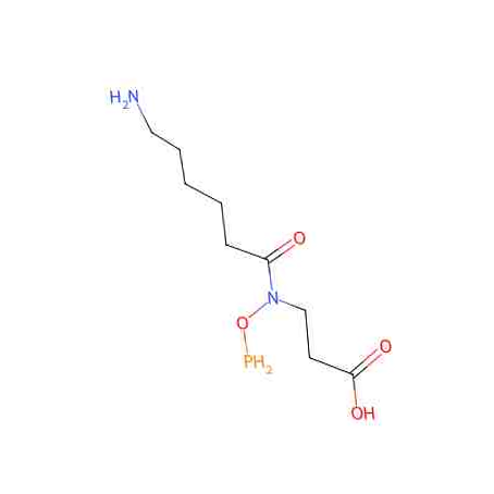 NCCCCCC(=O)N(CCC(=O)O)OP